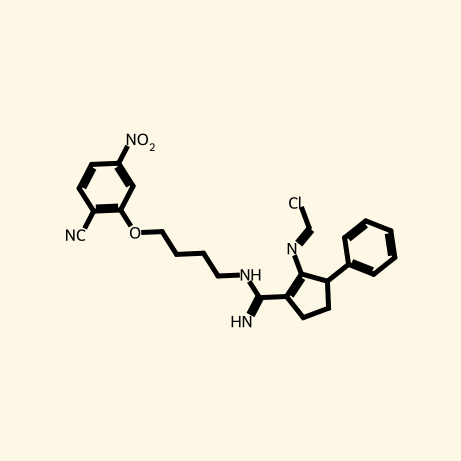 N#Cc1ccc([N+](=O)[O-])cc1OCCCCNC(=N)C1=C(/N=C/Cl)C(c2ccccc2)CC1